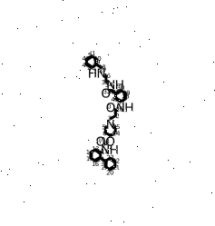 O=C(CCN1CCC(OC(=O)Nc2ccccc2-c2ccccc2)CC1)Nc1cccc(C(=O)NCCNCc2ccccc2)c1